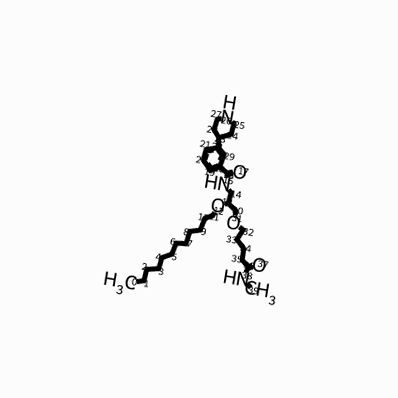 CCCCCCCCCCCCOC(CNC(=O)c1cccc(C2CCNCC2)c1)COCCCCC(=O)NC